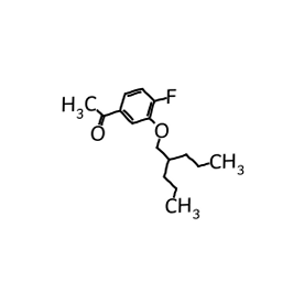 CCCC(CCC)COc1cc(C(C)=O)ccc1F